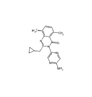 Cc1ccc(C)c2c(=O)n(-c3cnc(N)cn3)c(CC3CC3)nc12